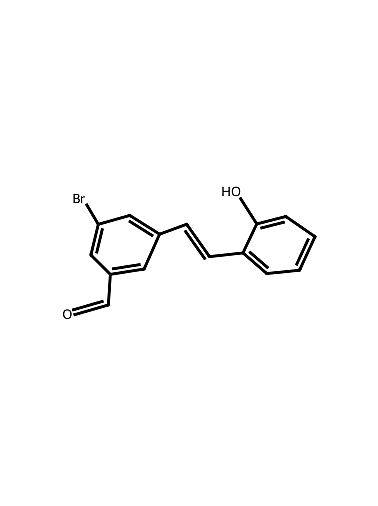 O=Cc1cc(Br)cc(/C=C/c2ccccc2O)c1